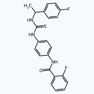 CC(NC(=S)Nc1ccc(NC(=O)c2ccccc2F)cc1)c1ccc(F)cc1